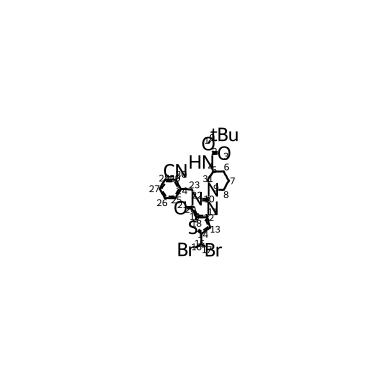 CC(C)(C)OC(=O)N[C@@H]1CCCN(c2nc3cc(C(Br)Br)sc3c(=O)n2Cc2ccccc2C#N)C1